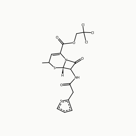 CC1C=C(C(=O)OCC(Cl)(Cl)Cl)N2C(=O)C(NC(=O)Cc3cccs3)[C@@H]2S1